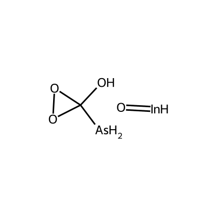 OC1([AsH2])OO1.[O]=[InH]